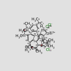 CC(C)c1cc(C(C)C)cc([Si](C2=C(c3ccccc3)[C]([Ti+3])=CC2)(c2cc(C(C)C)cc(C(C)C)c2)c2cc(C(C)C)cc(C(C)C)c2)c1.[Cl-].[Cl-].[Cl-]